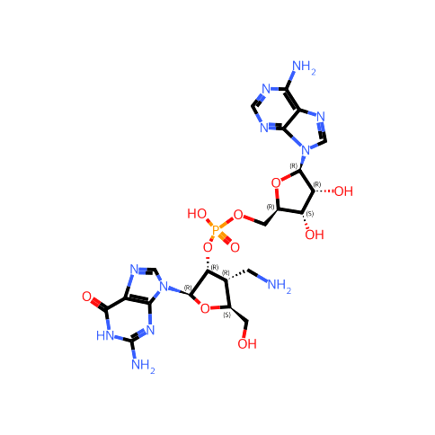 NC[C@H]1[C@@H](OP(=O)(O)OC[C@H]2O[C@@H](n3cnc4c(N)ncnc43)[C@H](O)[C@@H]2O)[C@H](n2cnc3c(=O)[nH]c(N)nc32)O[C@@H]1CO